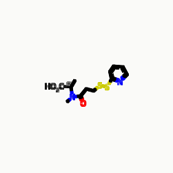 C[C@H](C(=O)O)N(C)C(=O)CCSSc1ccccn1